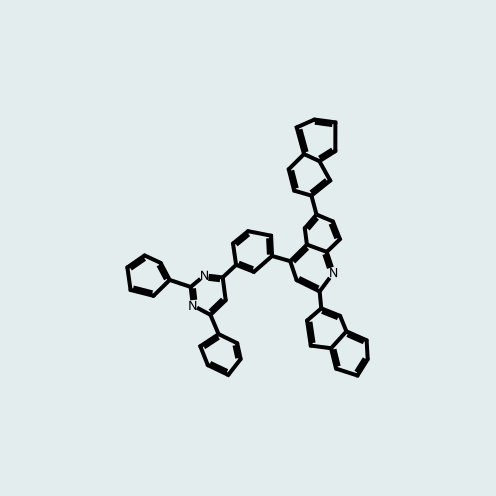 c1ccc(-c2cc(-c3cccc(-c4cc(-c5ccc6ccccc6c5)nc5ccc(-c6ccc7ccccc7c6)cc45)c3)nc(-c3ccccc3)n2)cc1